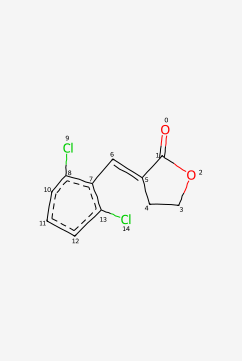 O=C1OCCC1=Cc1c(Cl)cccc1Cl